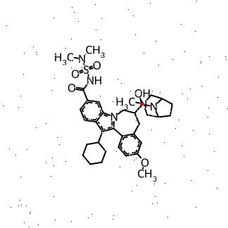 COc1ccc2c(c1)CC(C(O)N1C3CCC1CN(C)C3)Cn1c-2c(C2CCCCC2)c2ccc(C(=O)NS(=O)(=O)N(C)C)cc21